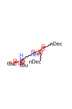 CCCCCCCCCCCCCCCC(=O)OCC(CSCCC(=O)NCCCCCCCC(=O)N[C@@H](CCC(=O)OC(C)(C)C)C(=O)OC(C)(C)C)OC(=O)CCCCCCCCCCCCCCC